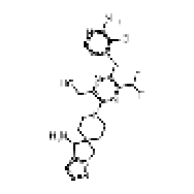 Nc1nccc(Sc2nc(CO)c(N3CCC4(CC3)Cn3nccc3[C@H]4N)nc2C(F)F)c1Cl